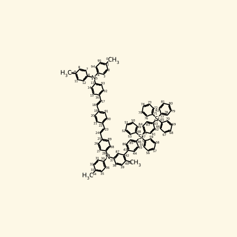 Cc1ccc(N(c2ccc(C)cc2)c2ccc(C=Cc3ccc(C=Cc4ccc(N(c5ccc(C)cc5)c5ccc(C)c(-c6ccc([Si](c7ccccc7)(c7ccccc7)c7ccc([Si](c8ccccc8)(c8ccccc8)c8ccccc8)cc7)cc6)c5)cc4)cc3)cc2)cc1